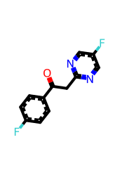 O=C(Cc1ncc(F)cn1)c1ccc(F)cc1